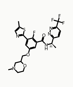 Cc1cnc(-c2cc(OCC3CN(C)CCO3)cc(C(=O)N[C@H](C)c3ccc(C(F)(F)F)nn3)c2F)s1